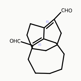 O=C/C1=C(\C2=C(\C=O)CCCCCC2)CCCCCC1